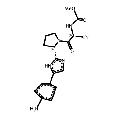 COC(=O)N[C@H](C(=O)N1CCC[C@H]1c1ncc(-c2ccc(N)cc2)[nH]1)C(C)C